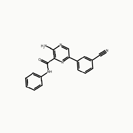 N#Cc1cccc(-c2cnc(N)c(C(=O)Nc3ccccc3)n2)c1